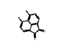 Cc1ccc2c3c(ccc(C)c13)C(=O)C2=O